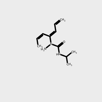 C=C/C=C(\C=C/C)N(N)C(=O)NC(C)C